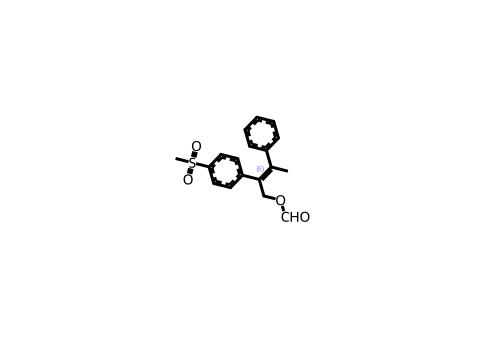 C/C(=C(\COC=O)c1ccc(S(C)(=O)=O)cc1)c1ccccc1